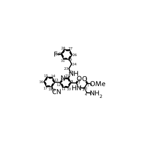 COC(=O)[C@@H](CN)NC(=O)c1ccc(-c2ccccc2C#N)nc1NCCc1cccc(F)c1